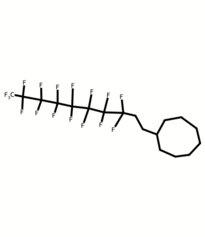 FC(F)(F)C(F)(F)C(F)(F)C(F)(F)C(F)(F)C(F)(F)C(F)(F)C(F)(F)CCC1[CH]CCCCCC1